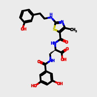 Cc1nc(NCCc2cccc(O)c2)sc1C(=O)N[C@@H](CNC(=O)c1cc(O)cc(O)c1)C(=O)O